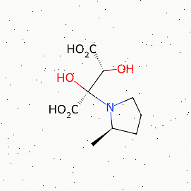 C[C@@H]1CCCN1[C@](O)(C(=O)O)[C@@H](O)C(=O)O